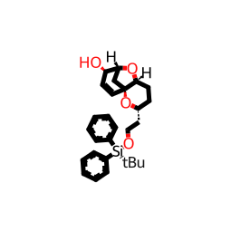 CC(C)(C)[Si](OCC[C@H]1CC[C@@H]2O[C@@H]3C[C@]2(C=C[C@H]3O)O1)(c1ccccc1)c1ccccc1